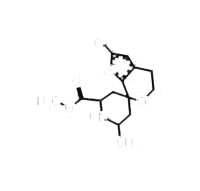 COC(=O)C1CC2(CC(C)N1)OCCc1cc(Cl)sc12